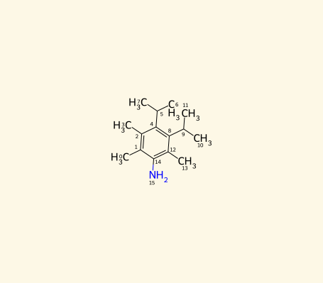 Cc1c(C)c(C(C)C)c(C(C)C)c(C)c1N